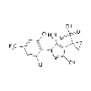 CS(=O)(=O)C1(c2c(C#N)nn(-c3c(Cl)cc(C(F)(F)F)cc3Cl)c2N)CC1